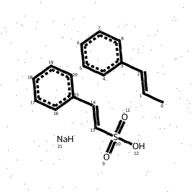 CC=Cc1ccccc1.O=S(=O)(O)C=Cc1ccccc1.[NaH]